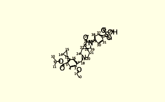 CCOc1cc(C(=O)OC(C)C)c(C2CC2)cc1CN1CCC2(CC1)CC(=O)N(c1ccc(S(=O)(=O)O)cc1)C2